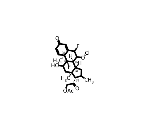 CC(=O)OCC(=O)[C@H]1C(C)C[C@H]2[C@@H]3C(OCl)C(F)C4=CC(=O)C=C[C@]4(C)[C@@]3(F)C(O)C[C@]12C